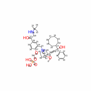 COC1(C#CC(O)(c2ccccc2)C2CCCCCCC2)C[N+]2(Cc3cc(C(O)CNC(C)(C)C)ccc3OCOP(=O)(O)O)CCC1CC2